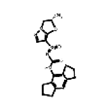 C[C@H]1Cn2ncc(/[SH](=O)=N/C(=O)Nc3c4c(cc5c3CCC5)CCC4)c2O1